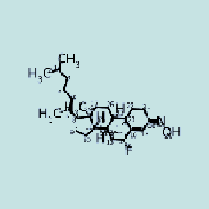 CC(C)CCC[C@@H](C)[C@H]1CC[C@H]2[C@@H]3C[C@@H](F)C4=CC(=NO)CC[C@]4(C)[C@H]3CC[C@]12C